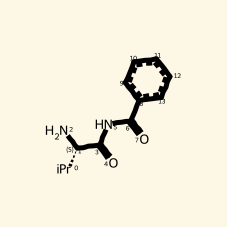 CC(C)[C@H](N)C(=O)NC(=O)c1ccccc1